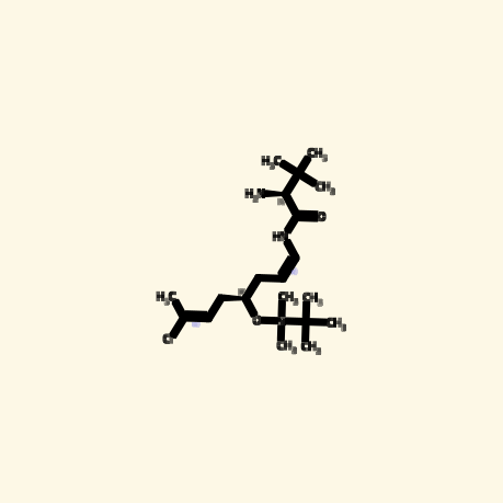 C/C(Cl)=C\C[C@@H](C/C=C\NC(=O)[C@@H](N)C(C)(C)C)O[Si](C)(C)C(C)(C)C